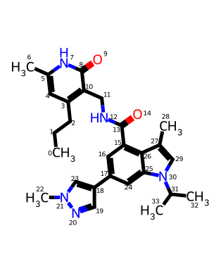 CCCc1cc(C)[nH]c(=O)c1CNC(=O)c1cc(-c2cnn(C)c2)cc2c1c(C)cn2C(C)C